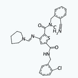 CN(Cc1ccccc1C#N)C(=O)c1sc(C(=O)NCc2ccccc2Cl)cc1/N=C/N1CCCCC1